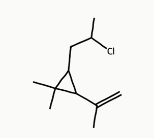 C=C(C)C1C(CC(C)Cl)C1(C)C